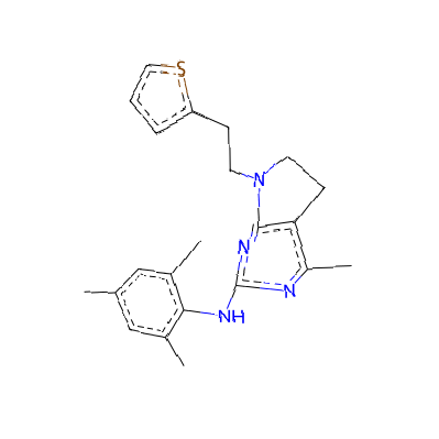 Cc1cc(C)c(Nc2nc(C)c3c(n2)N(CCc2cccs2)CC3)c(C)c1